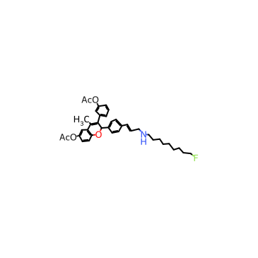 CC(=O)Oc1cccc(C2=C(C)c3cc(OC(C)=O)ccc3OC2c2ccc(C=CCNCCCCCCCCCF)cc2)c1